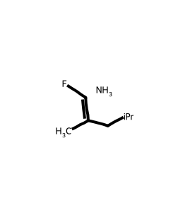 CC(=CF)CC(C)C.N